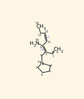 C=C/C(CN1CCCC1)=C(N)\C=C/CC